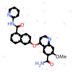 COc1cc2nccc(Oc3ccc4c(C(=O)Nc5ccccn5)cccc4c3)c2cc1C(N)=O